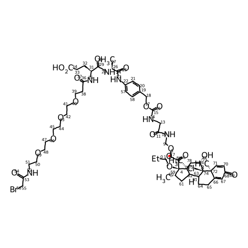 CCC(=O)O[C@]1(C(=O)COCNC(=O)CNC(=O)OCc2ccc(NC(=O)[C@H](C)NC(=O)[C@H](CCC(=O)O)NC(=O)CCOCCOCCOCCOCCNC(=O)CBr)cc2)[C@@H](C)CC2[C@@H]3CCC4=CC(=O)C=C[C@]4(C)[C@@]3(Cl)[C@@H](O)C[C@@]21C